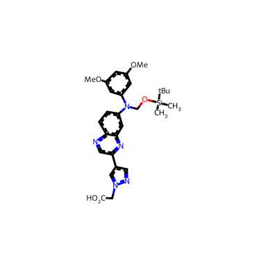 COc1cc(OC)cc(N(CO[Si](C)(C)C(C)(C)C)c2ccc3ncc(-c4cnn(CC(=O)O)c4)nc3c2)c1